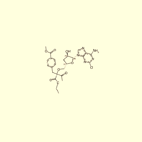 CCOC(=O)C(Cc1ccc(C(=O)OC)cc1)(OC[C@@H]1C[C@@H](O)[C@H](n2cnc3c(N)nc(Cl)nc32)O1)C(C)=O